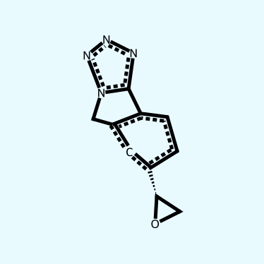 c1cc2c(cc1[C@@H]1CO1)Cn1nnnc1-2